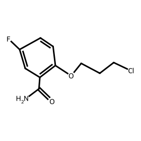 NC(=O)c1cc(F)ccc1OCCCCl